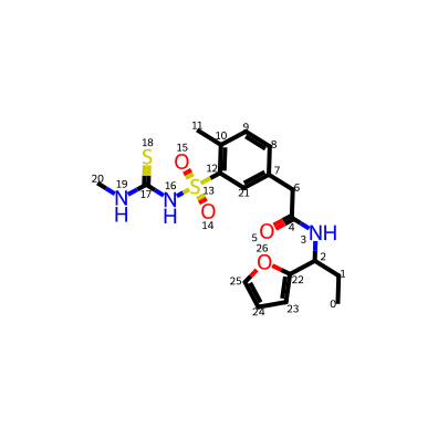 CCC(NC(=O)Cc1ccc(C)c(S(=O)(=O)NC(=S)NC)c1)c1ccco1